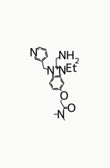 CCn1c(CN)[n+](Cc2cccnc2)c2ccc(OCC(=O)N(C)C)cc21